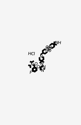 CC(C)N(C(=O)c1cc(F)ccc1Oc1cncnc1N1CC2(CCN(CC3CCN(S(=O)(=O)N4CCC5(CC4)CNC5)CC3)CC2)C1)C(C)C.Cl